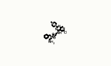 CN1CCN(c2nc(NCCS(=O)(=O)N(CCN)Cc3ccccc3)c3cc(Cl)ncc3n2)CC1